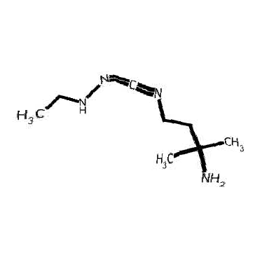 CCNN=C=NCCC(C)(C)N